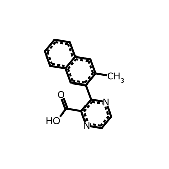 Cc1cc2ccccc2cc1-c1nccnc1C(=O)O